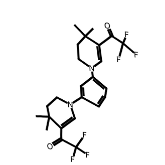 CC1(C)CCN(c2cccc(N3C=C(C(=O)C(F)(F)F)C(C)(C)CC3)c2)C=C1C(=O)C(F)(F)F